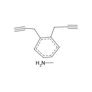 C#CCc1ccccc1CC#C.CN